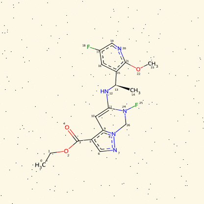 CCOC(=O)c1cnn2c1C=C(N[C@H](C)c1cc(F)cnc1OC)N(F)C2